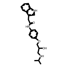 CC(C)NCC(O)COc1ccc(NC(=O)Cc2c[nH]c3ccccc23)cc1